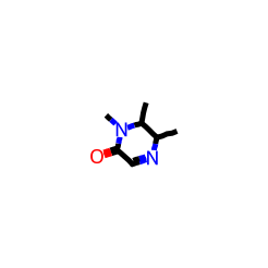 CC1N=CC(=O)N(C)C1C